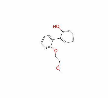 COCCOc1ccccc1-c1ccccc1O